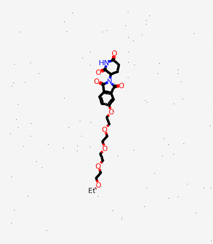 [CH2]COCCOCCOCCOCCOc1ccc2c(c1)C(=O)N(C1CCC(=O)NC1=O)C2=O